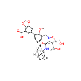 COc1c(CN2O[C@@H](CO)C([C@H](C)O)[C@H]2C(=O)N[C@H]2C[C@H]3C[C@@H]([C@@H]2C)C3(C)C)cccc1-c1cc2c(c(C(=O)O)c1)OCO2